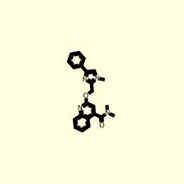 CN(C)C(=O)c1cc(OCc2nc(-c3ccccc3)cn2C)nc2ccccc12